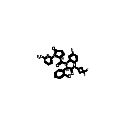 O=C(NC1CC(F)(F)C1)[C@@H](c1ccccc1Cl)N(C(=O)[C@@H]1CCC(=O)N1c1cccc(C(F)(F)F)n1)c1cccc(F)c1